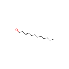 CCCCCCCCC=CC[C]=O